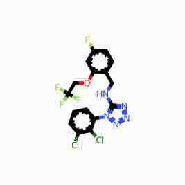 Fc1ccc(CNc2nnnn2-c2cccc(Cl)c2Cl)c(OCC(F)(F)F)c1